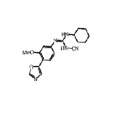 COc1cc(/N=C(\NC#N)NC2CCCCC2)ccc1-c1cnco1